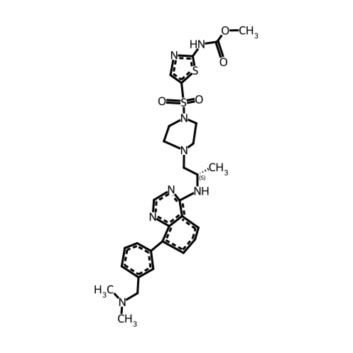 COC(=O)Nc1ncc(S(=O)(=O)N2CCN(C[C@H](C)Nc3ncnc4c(-c5cccc(CN(C)C)c5)cccc34)CC2)s1